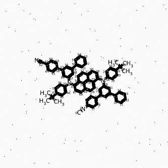 [C-]#[N+]c1ccc(-c2cc(-c3ccccc3)cc(N(c3ccc(C(C)(C)C)cc3)c3ccc4ccc5c(N(c6ccc(C(C)(C)C)cc6)c6cc(-c7ccccc7)cc(-c7ccc(C#N)cc7)c6)ccc6ccc3c4c65)c2)cc1